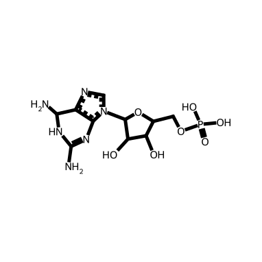 NC1=Nc2c(ncn2C2OC(COP(=O)(O)O)C(O)C2O)C(N)N1